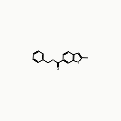 Cc1cc2ccc(C(=O)OCc3ccccc3)cc2s1